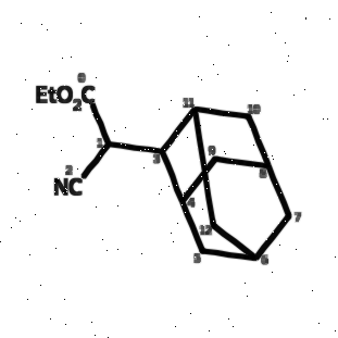 CCOC(=O)C(C#N)C1C2CC3CC(C2)CC1C3